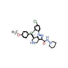 COc1ccc(/C=C2\CNCc3c(C(=O)NN4CCCCC4)nn(-c4ccc(Cl)cc4Cl)c32)cc1